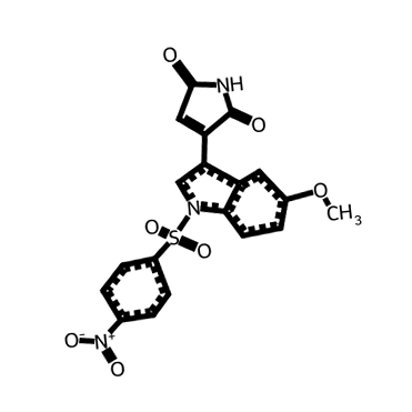 COc1ccc2c(c1)c(C1=CC(=O)NC1=O)cn2S(=O)(=O)c1ccc([N+](=O)[O-])cc1